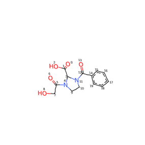 O=C(O)C1N(C(=O)CO)CCN1C(=O)c1ccccc1